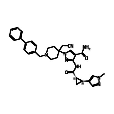 Cn1cc([C@H]2C[C@@H]2C(=O)Nc2nn(C3(CC#N)CCN(Cc4ccc(-c5ccccc5)cc4)CC3)cc2C(N)=O)cn1